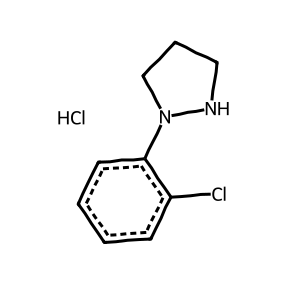 Cl.Clc1ccccc1N1CCCN1